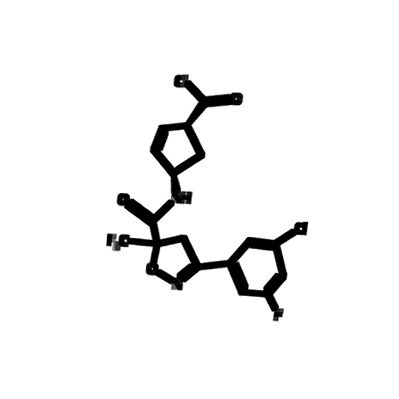 O=C(Cl)[C@@H]1C=C[C@H](NC(=O)C2(C(F)(F)F)CC(c3cc(F)cc(Cl)c3)=NO2)C1